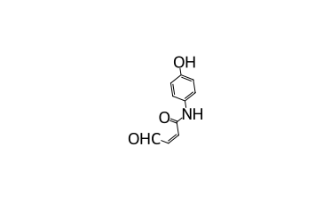 O=C/C=C\C(=O)Nc1ccc(O)cc1